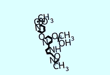 C[C@@H]1COC(c2ccc(-c3cc(O[C@@H](C)CO)cc(Oc4ccc(S(C)(=O)=O)nc4)n3)[nH]2)=N1